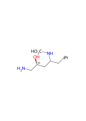 CC(C)CC(C[C@H](O)CN)NC(=O)O